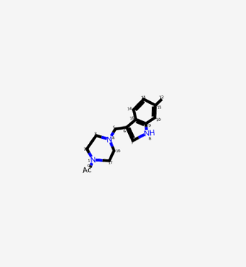 CC(=O)N1CCN(Cc2c[nH]c3cc(C)ccc23)CC1